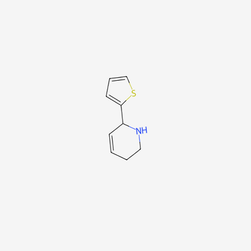 C1=CC(c2cccs2)NCC1